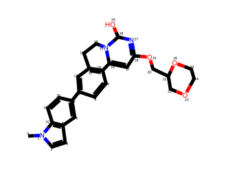 Cn1ccc2cc(-c3ccc4c(c3)CCN3C4=CC(OCC4COCCO4)=NC3O)ccc21